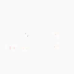 C=C(C)C(=O)Oc1cc2c(s1)CCN([C@H](C(=O)O)c1ccccc1Cl)C2